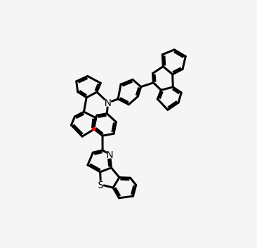 c1ccc(-c2ccccc2N(c2ccc(-c3ccc4sc5ccccc5c4n3)cc2)c2ccc(-c3cc4ccccc4c4ccccc34)cc2)cc1